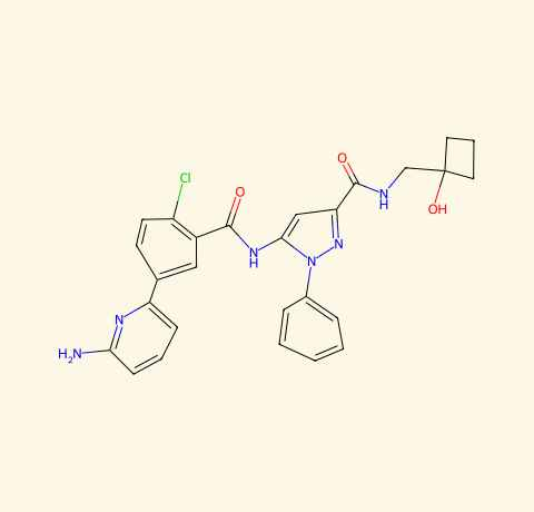 Nc1cccc(-c2ccc(Cl)c(C(=O)Nc3cc(C(=O)NCC4(O)CCC4)nn3-c3ccccc3)c2)n1